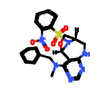 CN(Cc1ccccc1)c1ncnc2c1[C@@H]1OC[C@H](CN2)N1S(=O)(=O)c1ccccc1[N+](=O)[O-]